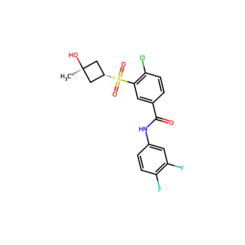 C[C@]1(O)C[C@H](S(=O)(=O)c2cc(C(=O)Nc3ccc(F)c(F)c3)ccc2Cl)C1